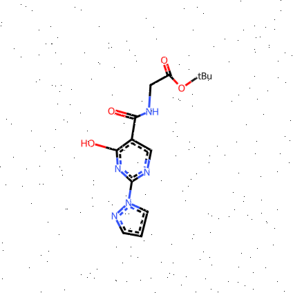 CC(C)(C)OC(=O)CNC(=O)c1cnc(-n2cccn2)nc1O